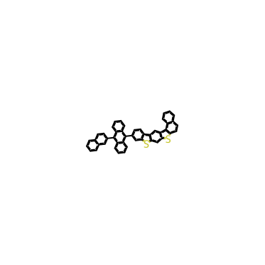 c1ccc2cc(-c3c4ccccc4c(-c4ccc5c(c4)sc4cc6sc7ccc8ccccc8c7c6cc45)c4ccccc34)ccc2c1